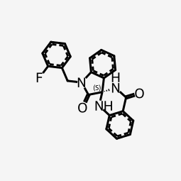 O=C1N[C@]2(Nc3ccccc31)C(=O)N(Cc1ccccc1F)c1ccccc12